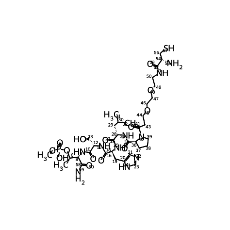 COP(=O)(O)O[C@H](C)[C@H](NC(=O)[C@H](CO)NC(=O)[C@H](Cc1cnc[nH]1)NC(=O)[C@H](CC(C)C)NC(=O)[C@@H]1CCCN1C(=O)CCOCCOCCNC(=O)[C@@H](N)CS)C(N)=O